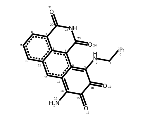 CC(C)CNC1=c2c3c4c(cccc4cc2=C(N)C(=O)C1=O)C(=O)NC3=O